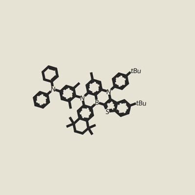 Cc1cc2c3c(c1)N(c1ccc(C(C)(C)C)cc1)c1c(sc4ccc(C(C)(C)C)cc14)B3c1cc3c(cc1N2c1c(C)cc(N(C2=CC=CCC2)c2ccccc2)cc1C)C(C)(C)CCC3(C)C